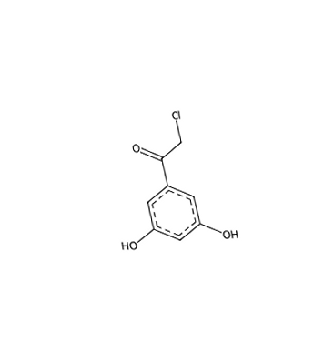 O=C(CCl)c1cc(O)cc(O)c1